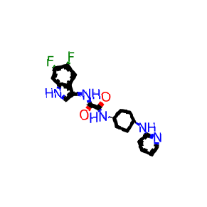 O=C(Nc1c[nH]c2cc(F)c(F)cc12)C(=O)N[C@H]1CC[C@H](Nc2ccccn2)CC1